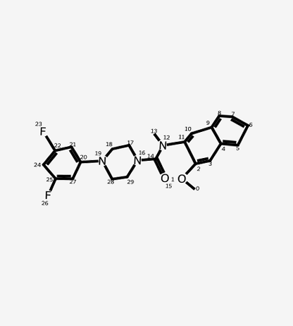 COc1cc2ccccc2cc1N(C)C(=O)N1CCN(c2cc(F)cc(F)c2)CC1